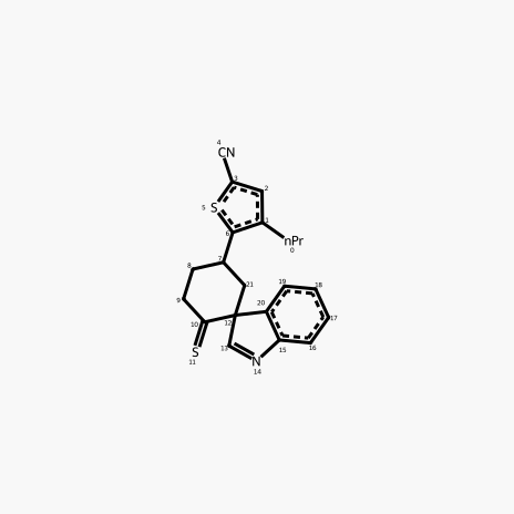 CCCc1cc(C#N)sc1C1CCC(=S)C2(C=Nc3ccccc32)C1